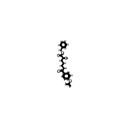 CC(C)Oc1ccc(C(=O)CCCCC(=O)C(=O)OCc2ccccc2)cc1